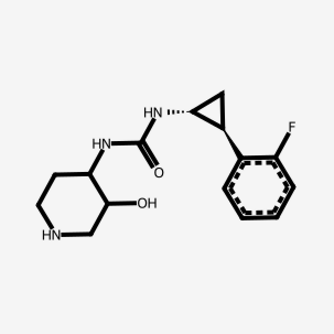 O=C(NC1CCNCC1O)N[C@@H]1C[C@H]1c1ccccc1F